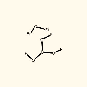 CCOCC.FOB(OF)OF